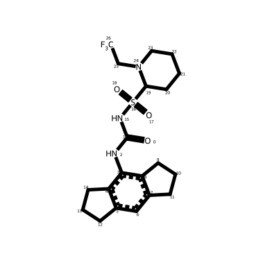 O=C(Nc1c2c(cc3c1CCC3)CCC2)NS(=O)(=O)C1CCCCN1CC(F)(F)F